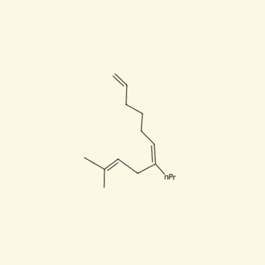 C=CCCCC=C(CC=C(C)C)CCC